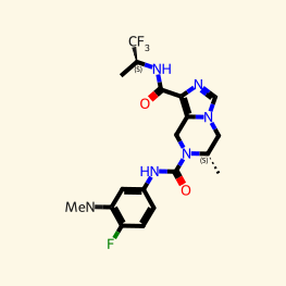 CNc1cc(NC(=O)N2Cc3c(C(=O)N[C@@H](C)C(F)(F)F)ncn3C[C@@H]2C)ccc1F